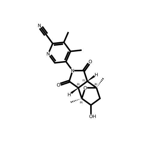 Cc1c(N2C(=O)[C@@H]3[C@H](C2=O)[C@@]2(C)CC(O)[C@]3(C)O2)cnc(C#N)c1C